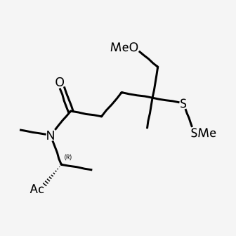 COCC(C)(CCC(=O)N(C)[C@H](C)C(C)=O)SSC